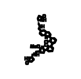 COc1nc(-c2cccc(-c3cccc(-c4ccc5cc(CNC[C@@H]6CCC(=O)N6)ccc5n4)c3Cl)c2Cl)ccc1CNC[C@H]1CCC(=O)N1